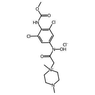 COC(=O)Nc1c(Cl)cc(N(O)C(=O)C[N+]2(C)CCN(C)CC2)cc1Cl.[Cl-]